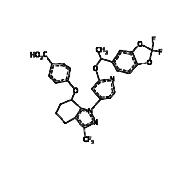 CC(Oc1cc(-n2nc(C(F)(F)F)c3c2C(Oc2ccc(C(=O)O)cc2)CCC3)ccn1)c1ccc2c(c1)OC(F)(F)O2